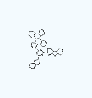 c1ccc(C(c2ccccc2)C(c2ccccc2)c2cccc(-c3nc(-c4ccc5ccccc5c4)nc(-c4ccc5c(c4)oc4ccccc45)n3)c2)cc1